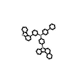 c1ccc(-c2ccc(N(c3ccc(-n4c5ccccc5c5c6ccccc6ccc54)cc3)c3cccc(-c4cccc5oc6ccccc6c45)c3)cc2)cc1